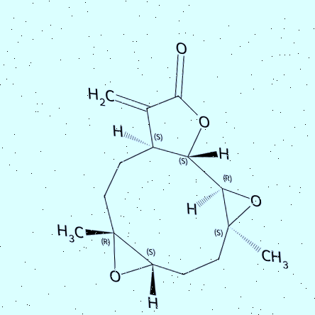 C=C1C(=O)O[C@@H]2[C@H]3O[C@@]3(C)CC[C@@H]3O[C@]3(C)CC[C@@H]12